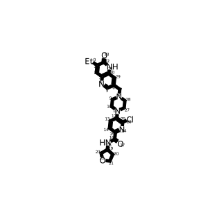 CCc1cc2ncc(CN3CCN(c4ccc(C(=O)NC5CCOC5)nc4Cl)CC3)cc2[nH]c1=O